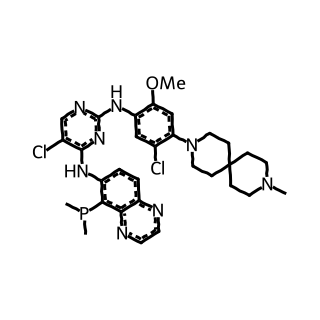 COc1cc(N2CCC3(CCN(C)CC3)CC2)c(Cl)cc1Nc1ncc(Cl)c(Nc2ccc3nccnc3c2P(C)C)n1